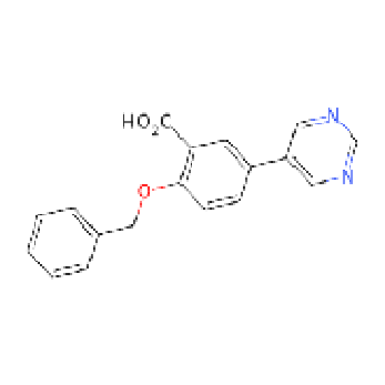 O=C(O)c1cc(-c2cncnc2)ccc1OCc1ccccc1